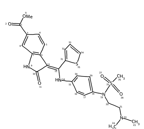 COC(=O)c1ccc2c(c1)NC(=O)/C2=C(\Nc1ccc(N(CCN(C)C)S(C)(=O)=O)cc1)c1cccs1